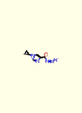 [N-]=[N+]=NC(=O)c1cn(C2CC2)cn1